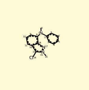 CN(c1ccccc1)c1cccc2c(Cl)n(C)nc12